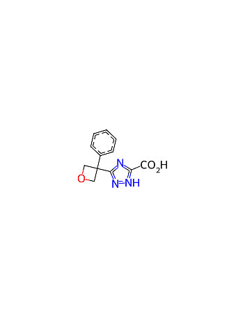 O=C(O)c1nc(C2(c3ccccc3)COC2)n[nH]1